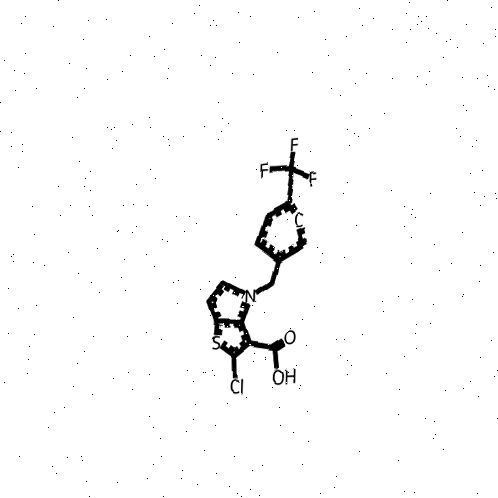 O=C(O)c1c(Cl)sc2ccn(Cc3ccc(C(F)(F)F)cc3)c12